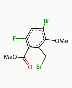 COC(=O)c1c(F)cc(Br)c(OC)c1CBr